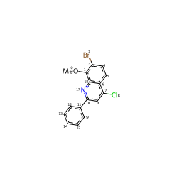 COc1c(Br)ccc2c(Cl)cc(-c3ccccc3)nc12